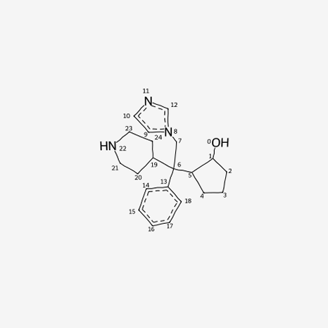 OC1CCCC1C(Cn1ccnc1)(c1ccccc1)C1CCNCC1